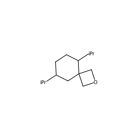 CC(C)C1CCC(C(C)C)C2(COC2)C1